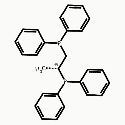 C[C@H](CP(c1ccccc1)c1ccccc1)P(c1ccccc1)c1ccccc1